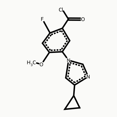 COc1cc(F)c(C(=O)Cl)cc1-n1cnc(C2CC2)c1